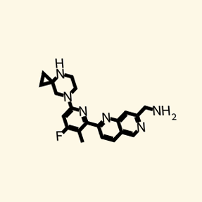 Cc1c(F)cc(N2CCNC3(CC3)C2)nc1-c1ccc2cnc(CN)cc2n1